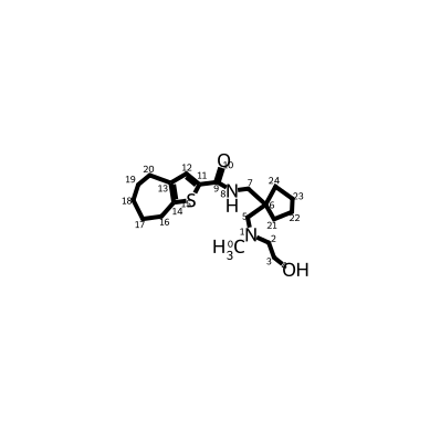 CN(CCO)CC1(CNC(=O)c2cc3c(s2)CCCCC3)CCCC1